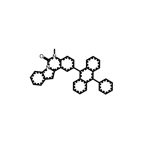 Cn1c(=O)n2c3ccccc3cc2c2cc(-c3c4ccccc4c(-c4ccccc4)c4ccccc34)ccc21